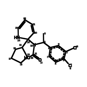 CC(c1ccc(Cl)c(Cl)c1)N(C(=O)O)C1(C2CCCC2)C=CC=CN1